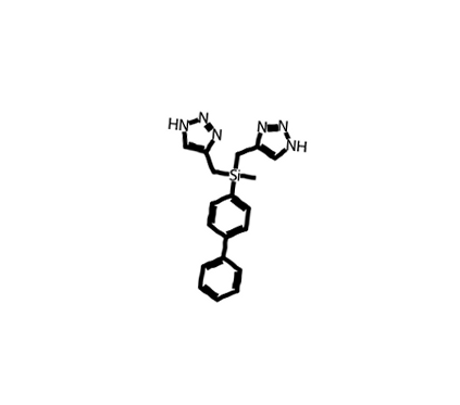 C[Si](Cc1c[nH]nn1)(Cc1c[nH]nn1)c1ccc(-c2ccccc2)cc1